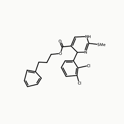 CSC1=NC(c2cccc(Cl)c2Cl)C(C(=O)OCCCc2ccccc2)=CN1